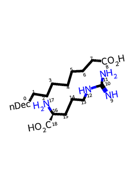 CCCCCCCCCCCCCCCCCC(=O)O.N=C(N)NCCC[C@H](N)C(=O)O